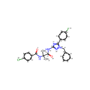 CC(C)(NC(=O)c1ccc(Cl)cc1)C(=O)Nc1nc(-c2ccc(F)cc2)n(Cc2ccccc2)n1